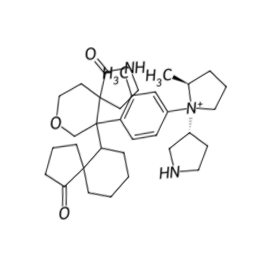 Cc1cc([N+]2([C@@H]3CCNC3)CCC[C@@H]2C)ccc1C1(C2CCCCC23CCCC3=O)COCCC12CCNC2=O